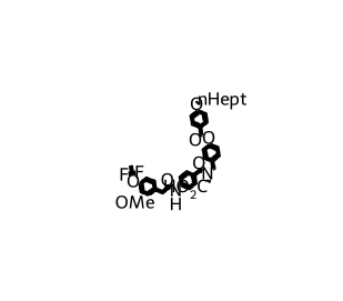 CCCCCCCOc1ccc(C(=O)Oc2ccc(CN(CC(=O)O)C(=O)c3ccc(NC(=O)Cc4ccc(OC(C)(F)F)cc4OC)cc3)cc2)cc1